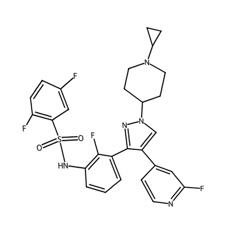 O=S(=O)(Nc1cccc(-c2nn(C3CCN(C4CC4)CC3)cc2-c2ccnc(F)c2)c1F)c1cc(F)ccc1F